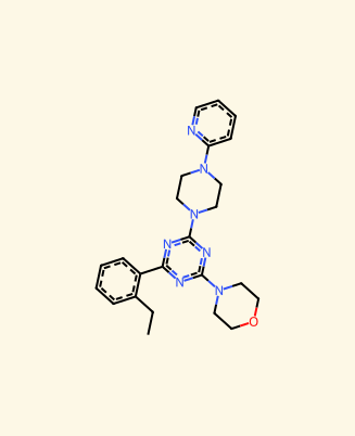 CCc1ccccc1-c1nc(N2CCOCC2)nc(N2CCN(c3ccccn3)CC2)n1